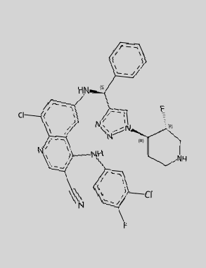 N#Cc1cnc2c(Cl)cc(N[C@@H](c3ccccc3)c3cn([C@@H]4CCNC[C@H]4F)nn3)cc2c1Nc1ccc(F)c(Cl)c1